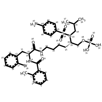 Cc1ncccc1C(=O)N[C@@H](Cc1ccccc1Br)C(=O)NCCCC[C@@H](COP(=O)(O)O)N(CC(C)C)S(=O)(=O)c1ccc(N)cc1